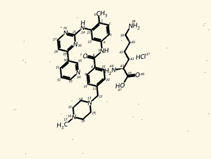 Cc1ccc(NC(=O)c2ccc(CN3CCN(C)CC3)cc2)cc1Nc1nccc(-c2cccnc2)n1.Cl.NCCCC[C@H](N)C(=O)O